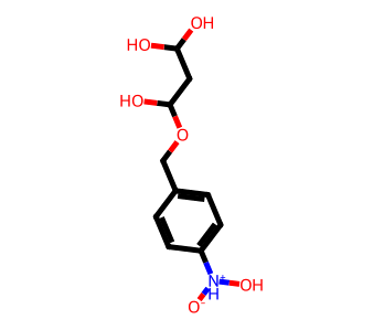 [O-][NH+](O)c1ccc(COC(O)CC(O)O)cc1